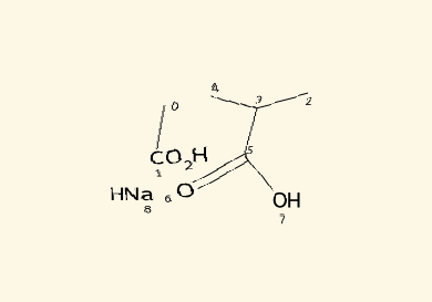 CC(=O)O.CC(C)C(=O)O.[NaH]